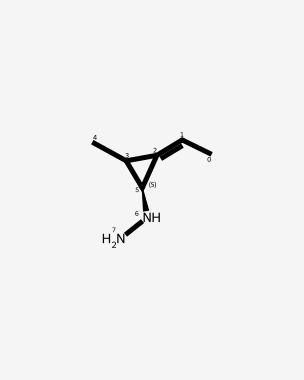 CC=C1C(C)[C@@H]1NN